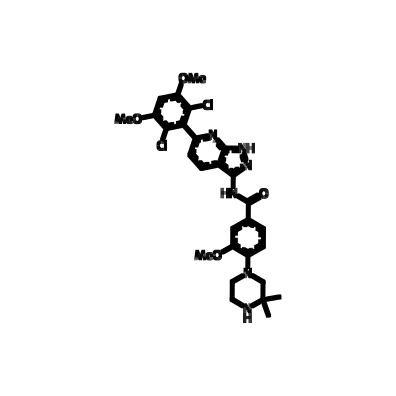 COc1cc(C(=O)Nc2n[nH]c3nc(-c4c(Cl)c(OC)cc(OC)c4Cl)ccc23)ccc1N1CCNC(C)(C)C1